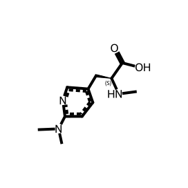 CN[C@@H](Cc1ccc(N(C)C)nc1)C(=O)O